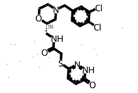 O=C(CSc1ccc(=O)[nH]n1)NC[C@H]1CN(Cc2ccc(Cl)c(Cl)c2)CCO1